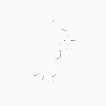 CCCSC1=C(C(=O)O)N2C(=O)C(NC(=O)C=NOCC(C(=O)OC(C)(C)C)c3csc(NC=O)n3)[C@@H]2SC1